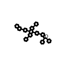 c1ccc(-c2ccc3c(-c4ccc(-c5ccc6oc(-c7ccccc7)c(-c7ccccc7)c6c5)cc4)c4cc(-c5ccccc5)ccc4c(-c4ccc(-c5ccc6ccccc6c5)cc4)c3c2)cc1